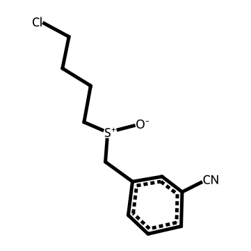 N#Cc1cccc(C[S+]([O-])CCCCCl)c1